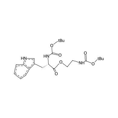 CC(C)(C)OC(=O)NCCOC(=O)[C@H](Cc1c[nH]c2ccccc12)NC(=O)OC(C)(C)C